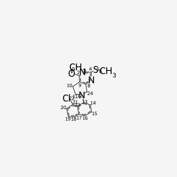 COc1nc(SC)nc2c1CCN(c1cccc3cccc(Cl)c13)C2